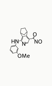 COc1cccc(Nc2ncc(C(=O)N=O)c3c2C2CCC3C2)c1